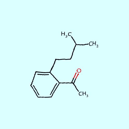 CC(=O)c1ccccc1CCC(C)C